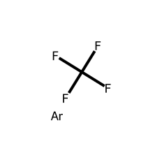 FC(F)(F)F.[Ar]